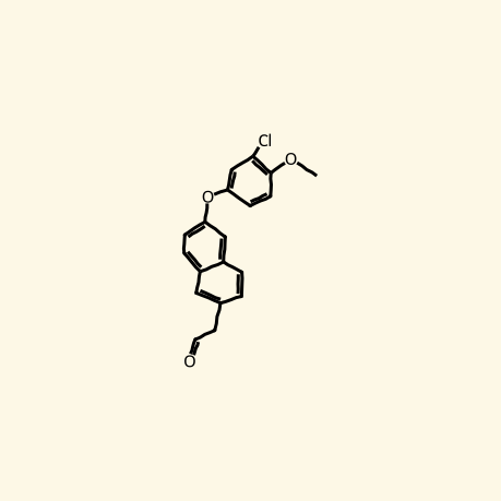 COc1ccc(Oc2ccc3cc(CC=O)ccc3c2)cc1Cl